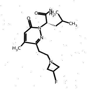 Cc1cc(=O)n([C@@H](CC(C)C)C(N)=O)nc1CCN1CC(F)C1